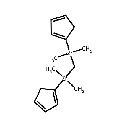 [CH3][Zr]([CH3])([CH2][Zr]([CH3])([CH3])[C]1=CC=CC1)[C]1=CC=CC1